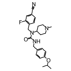 CC(C)Oc1ccc(CNC(=O)N(Cc2ccc(C#N)cc2F)C2CCN(C)CC2)cc1